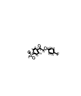 CS(=O)(=O)c1ccc(C(=O)COc2ccc(F)cc2)cc1